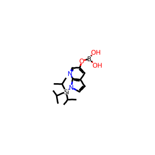 CC(C)[Si](C(C)C)(C(C)C)n1ccc2cc(OB(O)O)cnc21